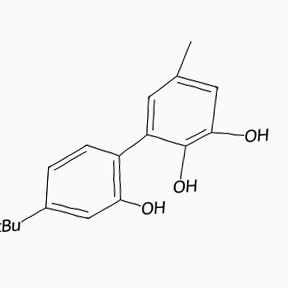 Cc1cc(O)c(O)c(-c2ccc(C(C)(C)C)cc2O)c1